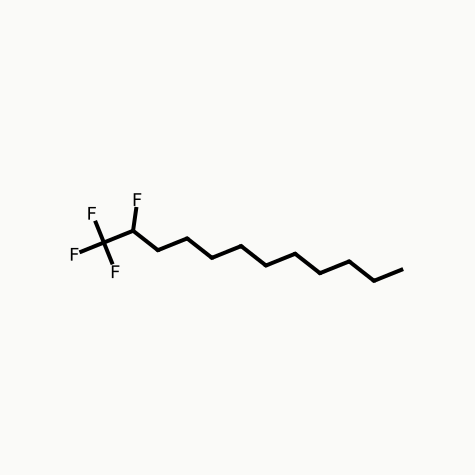 CCCCCCCCCCC(F)C(F)(F)F